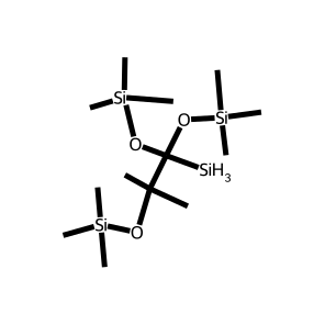 CC(C)(O[Si](C)(C)C)C([SiH3])(O[Si](C)(C)C)O[Si](C)(C)C